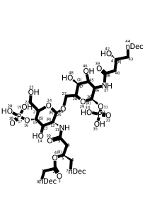 CCCCCCCCCCCC(=O)O[C@H](CCCCCCCCCCC)CC(=O)N[C@@H]1C(O)[C@H](OP(=O)(O)O)C(CO)O[C@H]1OCC1O[C@H](OP(=O)(O)O)C(NC(=O)C[C@H](O)CCCCCCCCCCC)C(O)[C@@H]1O